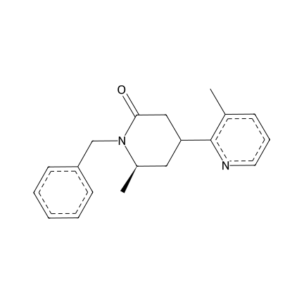 Cc1cccnc1C1CC(=O)N(Cc2ccccc2)[C@H](C)C1